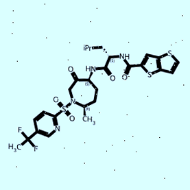 CC(C)C[C@H](NC(=O)c1cc2sccc2s1)C(=O)N[C@H]1CC[C@@H](C)N(S(=O)(=O)c2ccc(C(C)(F)F)cn2)CC1=O